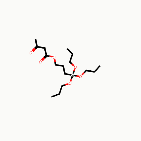 CCCO[Si](CCCOC(=O)CC(C)=O)(OCCC)OCCC